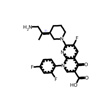 C/C(CN)=C1/CCCN(c2nc3c(cc2F)c(=O)c(C(=O)O)cn3-c2ccc(F)cc2F)C1